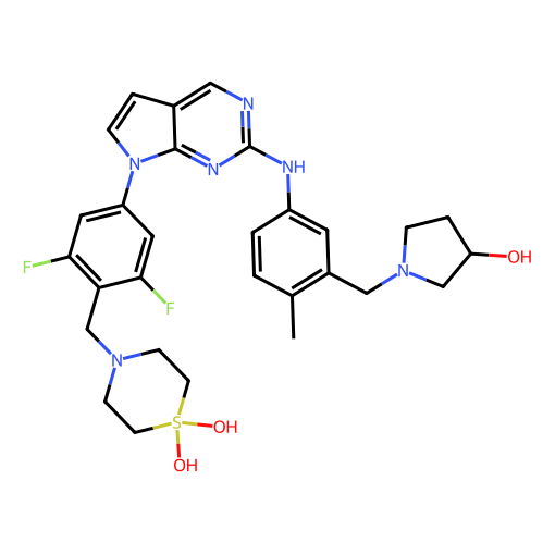 Cc1ccc(Nc2ncc3ccn(-c4cc(F)c(CN5CCS(O)(O)CC5)c(F)c4)c3n2)cc1CN1CCC(O)C1